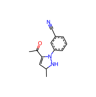 CC(=O)C1=CC(C)NN1c1cccc(C#N)c1